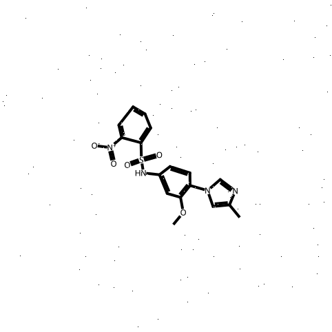 COc1cc(NS(=O)(=O)c2ccccc2[N+](=O)[O-])ccc1-n1cnc(C)c1